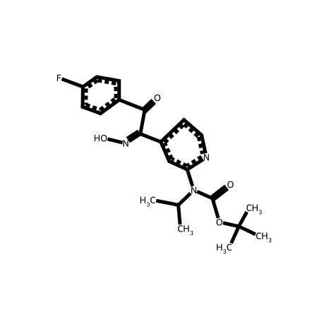 CC(C)N(C(=O)OC(C)(C)C)c1cc(/C(=N/O)C(=O)c2ccc(F)cc2)ccn1